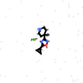 CCC1(c2noc(C3CC3)n2)CCNCC1.Cl